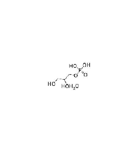 O.O=P(O)(O)OCC(O)CO